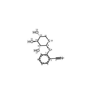 N#Cc1ccccc1S[C@@H]1SC[C@@H](O)[C@H](O)[C@H]1O